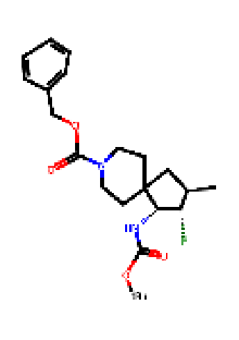 C[C@@H]1CC2(CCN(C(=O)OCc3ccccc3)CC2)[C@@H](NC(=O)OC(C)(C)C)[C@H]1F